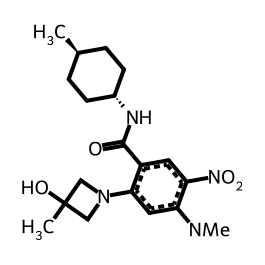 CNc1cc(N2CC(C)(O)C2)c(C(=O)N[C@H]2CC[C@H](C)CC2)cc1[N+](=O)[O-]